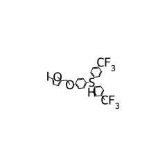 FC(F)(F)c1ccc([SH](c2ccc(OCc3ccc(I)o3)cc2)c2ccc(C(F)(F)F)cc2)cc1